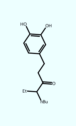 CCCCC(CC)C(=O)CCc1ccc(O)c(O)c1